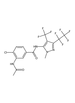 CC(=O)Nc1cc(C(=O)Nc2c(C(F)(F)F)c(C(F)(F)C(F)(F)F)nn2C)ccc1Cl